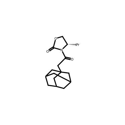 CC(C)[C@H]1COC(=O)N1C(=O)CC12CC3CC(CC(C3)C1)C2